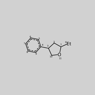 CCC1CC(c2ccccc2)CO1